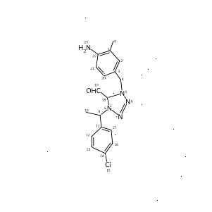 Cc1cc(CN2N=NN(C(C)c3ccc(Cl)cc3)C2C=O)ccc1N